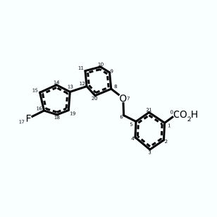 O=C(O)c1cccc(COc2cccc(-c3ccc(F)cc3)c2)c1